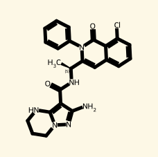 C[C@H](NC(=O)c1c(N)nn2c1NCCC2)c1cc2cccc(Cl)c2c(=O)n1-c1ccccc1